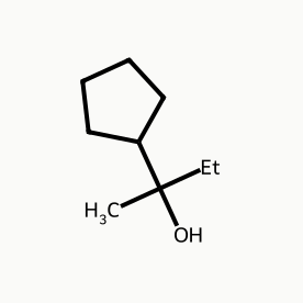 CCC(C)(O)C1CCCC1